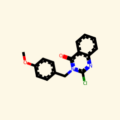 COc1ccc(Cn2c(Cl)nc3ccccc3c2=O)cc1